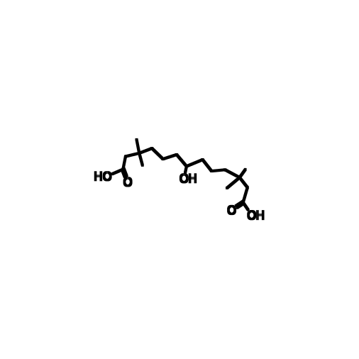 CC(C)(CCCC(O)CCCC(C)(C)CC(=O)O)CC(=O)O